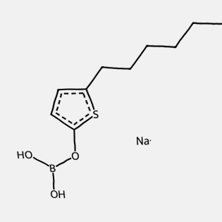 CCCCCCc1ccc(OB(O)O)s1.[Na]